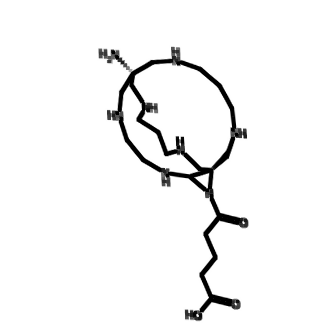 N[C@]12CNCCCNC[C@]3(CNCCCNC1)C(NCCNC2)N3C(=O)CCCC(=O)O